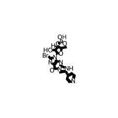 O=c1c2nc(Br)n([C@@H]3OC4COP(O)O[C@H]4C3O)c2nc2[nH]c(-c3ccncc3)cn12